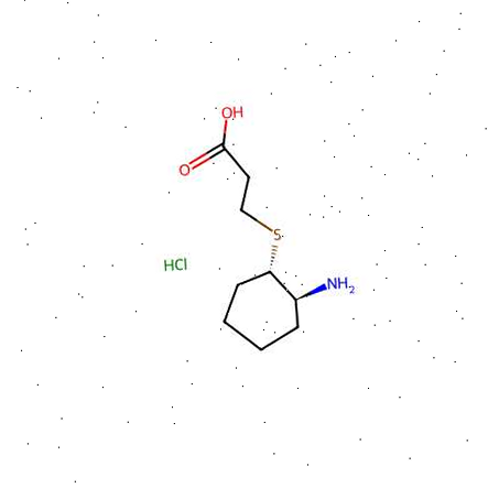 Cl.N[C@H]1CCCC[C@@H]1SCCC(=O)O